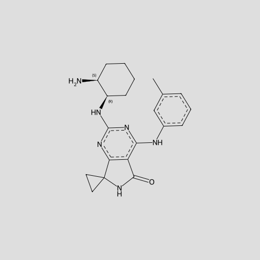 Cc1cccc(Nc2nc(N[C@@H]3CCCC[C@@H]3N)nc3c2C(=O)NC32CC2)c1